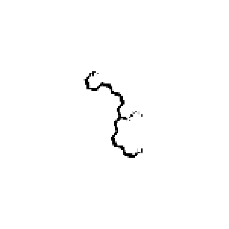 CC/C=C\C/C=C\CCC(C/C=C\C/C=C\C/C=C\CCC)OP